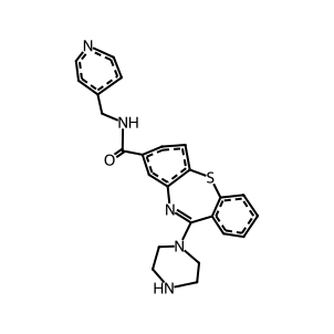 O=C(NCc1ccncc1)c1ccc2c(c1)N=C(N1CCNCC1)c1ccccc1S2